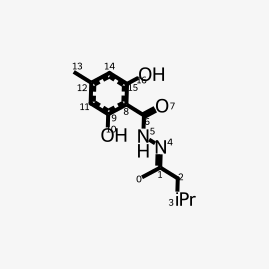 C/C(CC(C)C)=N\NC(=O)c1c(O)cc(C)cc1O